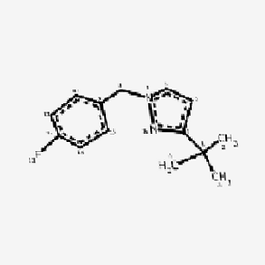 CC(C)(C)c1ccn(Cc2ccc(F)cc2)n1